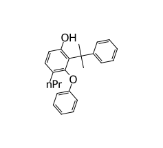 CCCc1ccc(O)c(C(C)(C)c2ccccc2)c1Oc1ccccc1